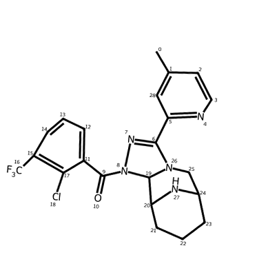 Cc1ccnc(C2=NN(C(=O)c3cccc(C(F)(F)F)c3Cl)C3C4CCCC(CN23)N4)c1